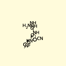 Cc1cccc(C(F)(F)CNc2ccc(C#N)c(CC(=O)NCCONC(=N)N)c2F)n1